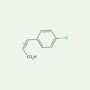 O=C(O)/C=C\c1ccc(Cl)cc1